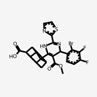 COC(=O)C1=C(C23C4C5C2C2C3C4C52C(=O)O)NC(c2nccs2)=NC1c1ccc(F)c(F)c1Br